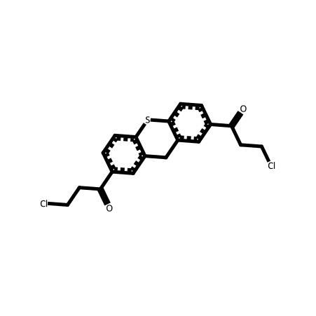 O=C(CCCl)c1ccc2c(c1)Cc1cc(C(=O)CCCl)ccc1S2